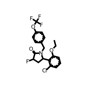 CCOc1cccc(Cl)c1C1CC(F)C(=O)N1Cc1ccc(OC(F)(F)F)cc1